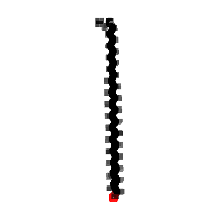 CCCCCCCCCCCCCCCCCCCCCCCCC/C=C/C=C/[C]=O